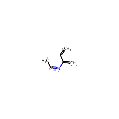 C=CC(=C)/N=C\C